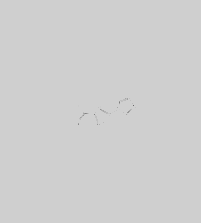 CCOC(=O)C(=N)c1csc(-n2ccnc2)n1